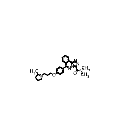 C[C@@H]1CCCN1CCCOc1ccc(-c2nn3c(C(=O)N(C)C)nnc3c3ccccc23)cc1